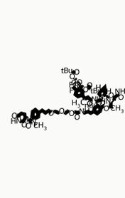 CCCC[C@H](NC(=O)/C=C(\C)c1ccc(C(F)(F)P(=O)(OCOC(=O)C(C)(C)C)OCOC(=O)C(C)(C)C)cc1)C(=O)N1C[C@H]2C[C@H]2[C@H]1C(=O)N[C@@H](CCC(N)=O)[C@@H](C)OCc1ccc(CCCNC(=O)COCCOCCOCCCc2ccc3c(c2)n(C)c(=O)n3C2CCC(=O)NC2=O)cc1